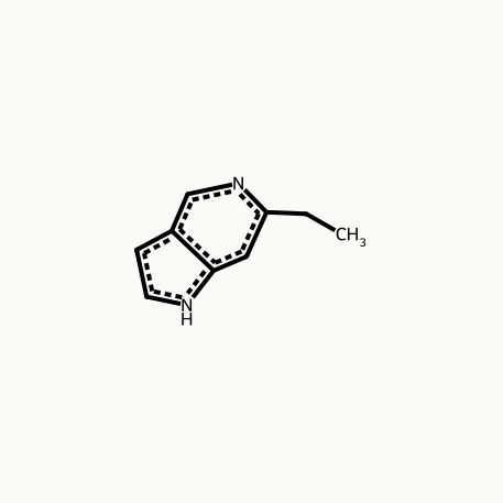 CCc1cc2[nH]ccc2cn1